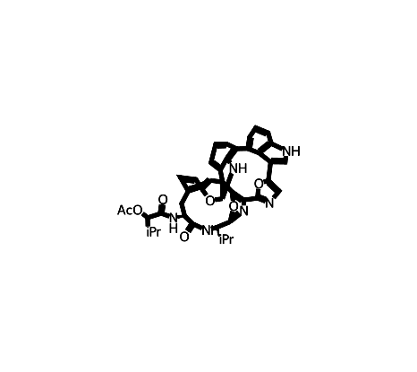 CC(=O)OC(C(=O)N[C@H]1Cc2ccc3c(c2)C24c5cccc(c5NC2O3)-c2cccc3[nH]cc(c23)-c2cnc(o2)-c2nc(oc24)[C@H](C(C)C)NC1=O)C(C)C